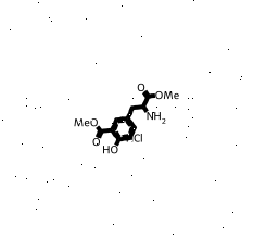 COC(=O)c1cc(CC(N)C(=O)OC)ccc1O.Cl